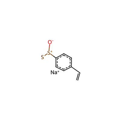 C=Cc1ccc([S+]([O-])[S-])cc1.[Na+]